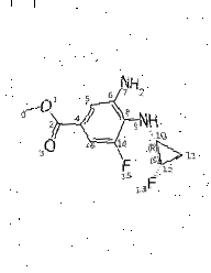 COC(=O)c1cc(N)c(N[C@@H]2C[C@@H]2F)c(F)c1